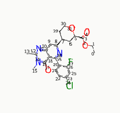 CCOC(=O)[C@H]1C[C@@H](c2cc3nc(C)n(C)c(=O)c3c(-c3ccc(Cl)cc3F)n2)CCO1